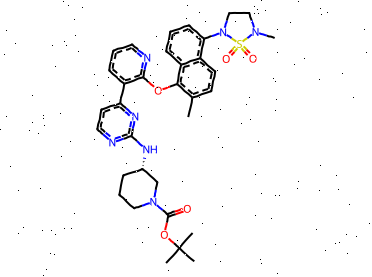 Cc1ccc2c(N3CCN(C)S3(=O)=O)cccc2c1Oc1ncccc1-c1ccnc(N[C@H]2CCCN(C(=O)OC(C)(C)C)C2)n1